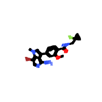 COc1cc(-c2cn(C)c3c(Br)cnc(N)c23)ccc1C(=O)NCC1(F)CC1